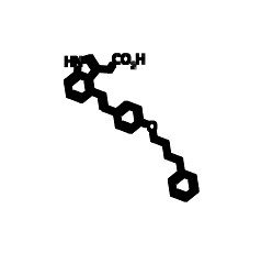 O=C(O)Cc1c[nH]c2cccc(/C=C/c3ccc(OCCCCc4ccccc4)cc3)c12